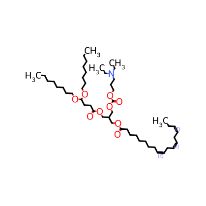 CC/C=C\C/C=C\C/C=C\CCCCCCCC(=O)OCC(COC(=O)CCC(OCCCCCCCC)OCCCCCCCC)COC(=O)OCCCN(CC)CC